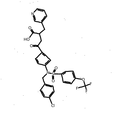 O=C(CC(Cc1cccnc1)C(=O)O)c1ccc(N(Cc2ccc(Cl)cc2)S(=O)(=O)c2ccc(OC(F)(F)F)cc2)cc1